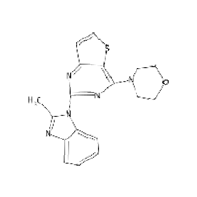 Cc1nc2ccccc2n1-c1nc(N2CCOCC2)c2sccc2n1